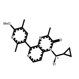 CC[C@H](C1CC1)n1c(=O)c(C)nc2c(-c3cc(C)c(OC)nc3C)nccc21